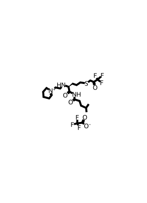 CC(C)CCC(=O)NC(=O)[C@H](CCCSCC(=O)C(F)(F)F)NCC[N+]1=CCCCC1.O=C([O-])C(F)(F)F